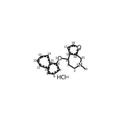 CN1CCC(Oc2cccc3ccccc23)c2ccoc2C1.Cl